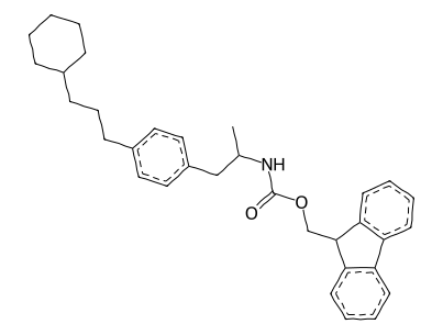 CC(Cc1ccc(CCCC2CCCCC2)cc1)NC(=O)OCC1c2ccccc2-c2ccccc21